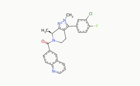 C[C@H]1c2nn(C)c(-c3ccc(F)c(Cl)c3)c2CCN1C(=O)c1ccc2ncccc2c1